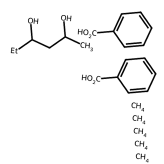 C.C.C.C.C.CCC(O)CC(C)O.O=C(O)c1ccccc1.O=C(O)c1ccccc1